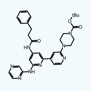 CC(C)(C)OC(=O)N1CCN(c2cc(-c3cc(NC(=O)CCc4ccccc4)cc(Nc4cnccn4)n3)ccn2)CC1